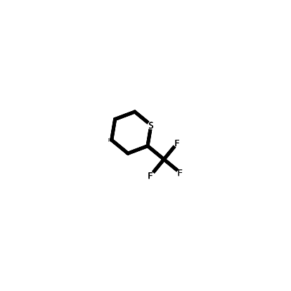 FC(F)(F)C1C[C]CCS1